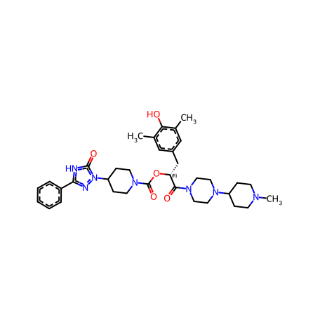 Cc1cc(C[C@@H](OC(=O)N2CCC(n3nc(-c4ccccc4)[nH]c3=O)CC2)C(=O)N2CCN(C3CCN(C)CC3)CC2)cc(C)c1O